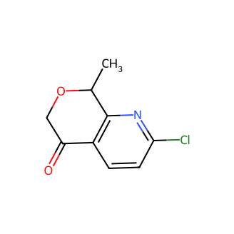 CC1OCC(=O)c2ccc(Cl)nc21